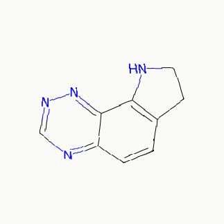 c1nnc2c3c(ccc2n1)CCN3